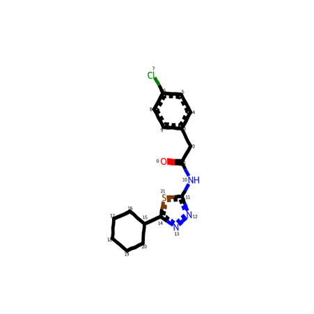 O=C(Cc1ccc(Cl)cc1)Nc1nnc(C2CCCCC2)s1